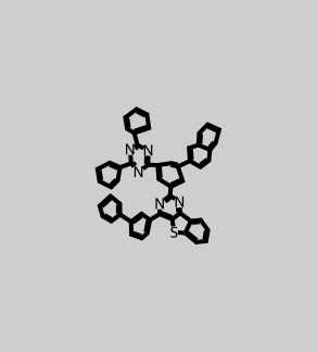 c1ccc(-c2cccc(-c3nc(-c4cc(-c5ccc6ccccc6c5)cc(-c5nc(-c6ccccc6)nc(-c6ccccc6)n5)c4)nc4c3sc3ccccc34)c2)cc1